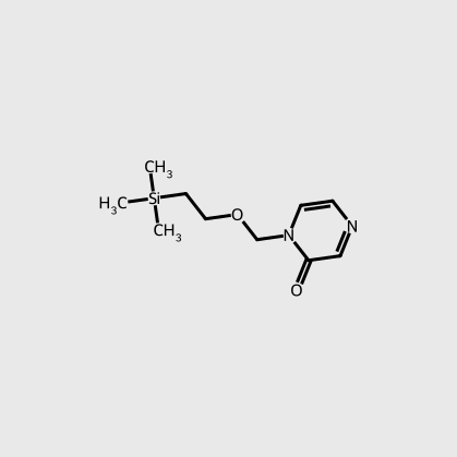 C[Si](C)(C)CCOCn1ccncc1=O